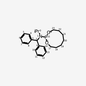 CC(C)N(C(c1ccccc1)c1ccccc1)P1OCCCCCCCO1